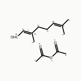 CC(=O)OC(C)=O.CC(C)=CCC/C(C)=C/C=O